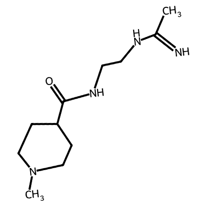 CC(=N)NCCNC(=O)C1CCN(C)CC1